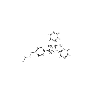 CCCCc1ccc(C(=O)NC(O)(C(=O)c2ccccc2)c2ccccc2)cc1